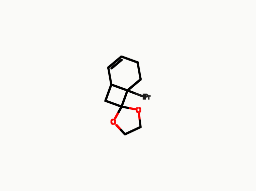 CC(C)C12CCC=CC1CC21OCCO1